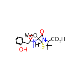 CO[C@]1(NC(=O)Cc2ccccc2O)C(=O)N2[C@@H](C(=O)O)C(C)(C)S[C@@H]21